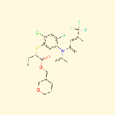 C=C(C)N(C(=C)/C=C(\C)C(F)(F)F)c1cc(SC(CC)C(=O)OCC2CCCOC2)c(Cl)cc1F